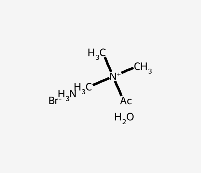 CC(=O)[N+](C)(C)C.N.O.[Br-]